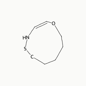 C1=C\OCCCCCSN/1